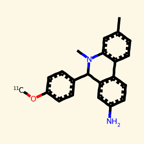 Cc1ccc2c(c1)N(C)C(c1ccc(O[11CH3])cc1)c1cc(N)ccc1-2